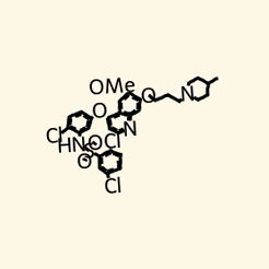 COc1cc2c(Oc3ccc(Cl)c(NS(=O)(=O)c4cc(Cl)ccc4Cl)c3)ccnc2cc1OCCCN1CCC(C)CC1